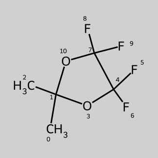 CC1(C)OC(F)(F)C(F)(F)O1